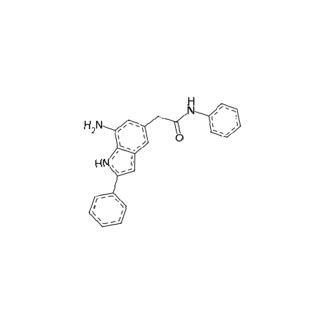 Nc1cc(CC(=O)Nc2ccccc2)cc2cc(-c3ccccc3)[nH]c12